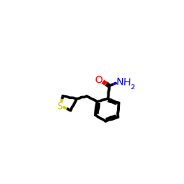 NC(=O)c1ccccc1CC1CSC1